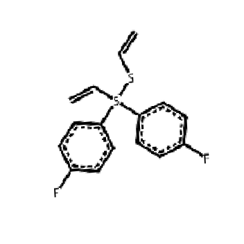 C=CSS(C=C)(c1ccc(F)cc1)c1ccc(F)cc1